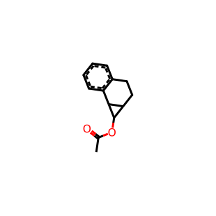 CC(=O)OC1C2CCc3ccccc3C21